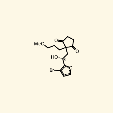 COCCCC1(C[C@@H](O)c2occc2Br)C(=O)CCC1=O